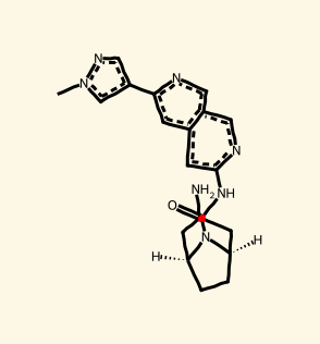 Cn1cc(-c2cc3cc(NC(=O)N4[C@@H]5CC[C@H]4CC(N)C5)ncc3cn2)cn1